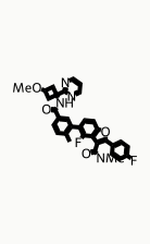 CNC(=O)c1c(-c2ccc(F)cc2)oc2ccc(-c3cc(C(=O)NC4(c5ncccn5)CC(OC)C4)ccc3C)c(F)c12